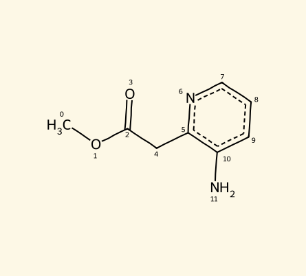 COC(=O)Cc1ncccc1N